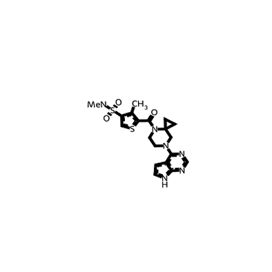 CNS(=O)(=O)c1csc(C(=O)N2CCN(c3ncnc4[nH]ccc34)CC23CC3)c1C